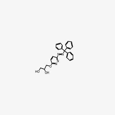 OCC(O)COc1ccc(N=NC(c2ccccc2)(c2ccccc2)c2ccccc2)nn1